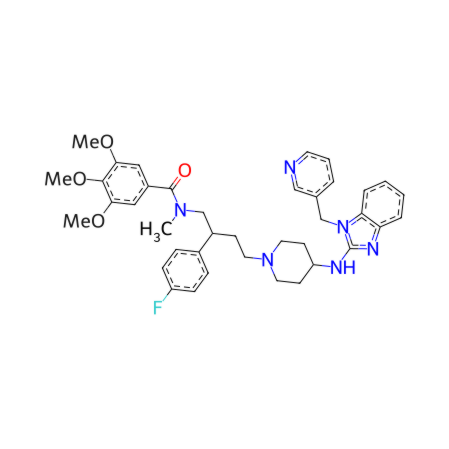 COc1cc(C(=O)N(C)CC(CCN2CCC(Nc3nc4ccccc4n3Cc3cccnc3)CC2)c2ccc(F)cc2)cc(OC)c1OC